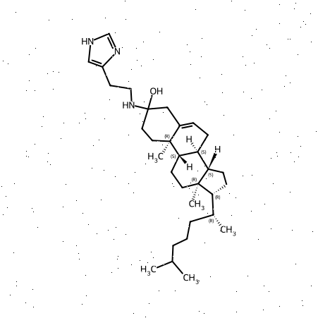 CC(C)CCC[C@@H](C)[C@H]1CC[C@H]2[C@@H]3CC=C4CC(O)(NCCc5c[nH]cn5)CC[C@]4(C)[C@H]3CC[C@]12C